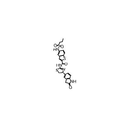 CCCS(=O)(=O)Nc1ccc2sc(C(=O)NC3=NC(c4ccc5c(c4)CC(=O)N5)CS3)cc2c1